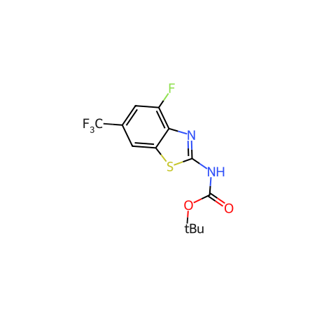 CC(C)(C)OC(=O)Nc1nc2c(F)cc(C(F)(F)F)cc2s1